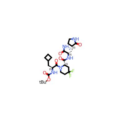 CC(C)(C)OC(=O)N[C@@H](CC1CCC1)C(=O)N1CCC(F)(F)C[C@H]1C(=O)N[C@@H](C[C@@H]1CCNC1=O)C(N)=O